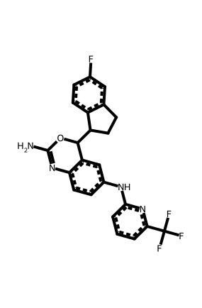 NC1=Nc2ccc(Nc3cccc(C(F)(F)F)n3)cc2C(C2CCc3cc(F)ccc32)O1